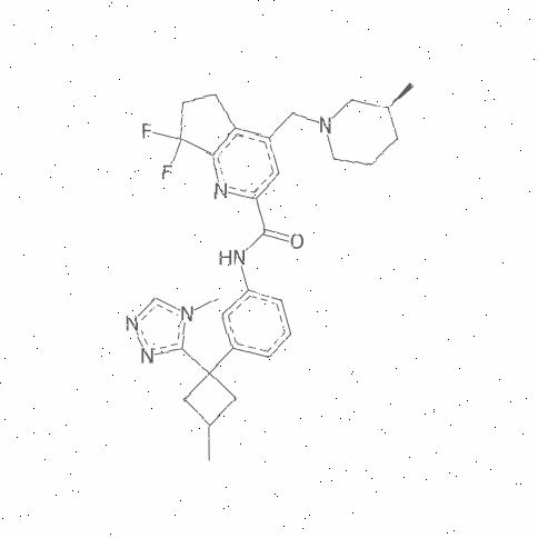 CC1CC(c2cccc(NC(=O)c3cc(CN4CCC[C@H](C)C4)c4c(n3)C(F)(F)CC4)c2)(c2nncn2C)C1